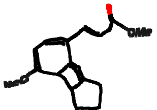 COC(=O)C=CC1=CC=C(OC)C2C1=C1CCCC12